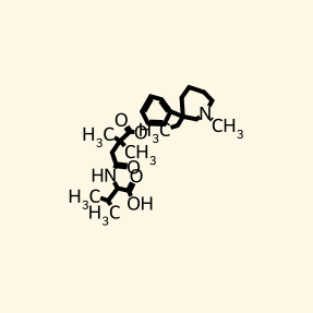 CCC1(c2cccc(OC(=O)C(C)(C)CC(=O)NC(C(=O)O)C(C)C)c2)CCCCN(C)C1